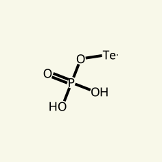 O=P(O)(O)O[Te]